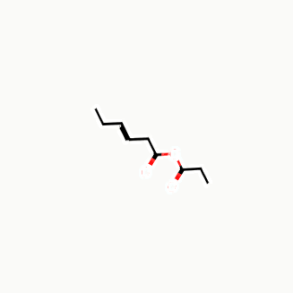 CC/C=C/CC(=O)OC(=O)CC